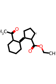 CCOC(=O)C1[C]CCC1=C1CCCCC1C(C)=O